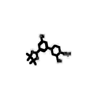 CC(C)(C)C1CN(c2cc(C#N)cc(B3OC(C)(C)C(C)(C)O3)c2)CCN1C(=O)O